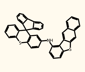 c1ccc2c(c1)Sc1ccc(Nc3cccc4sc5cc6ccccc6cc5c34)cc1C21c2ccccc2-c2ccccc21